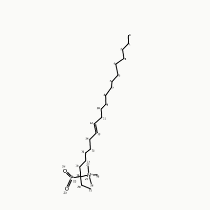 CCCCCCCCCCCCC=CCCCCCC(CC)(P(=O)=O)[N+](C)(C)C